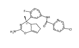 C[C@]1(c2cc(NC(=O)c3ccc(Cl)cn3)ccc2F)N=C(N)OC2=CCCC21